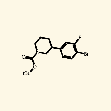 CC(C)(C)OC(=O)N1CCCC(c2ccc(Br)c(F)c2)C1